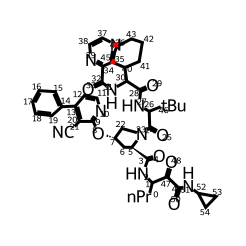 CCCC(NC(=O)[C@H]1C[C@H](Oc2nccc(-c3ccccc3)c2C#N)CN1C(=O)C(NC(=O)C(NC(=O)c1cnccn1)C1CCCCC1)C(C)(C)C)C(=O)C(=O)NC1CC1